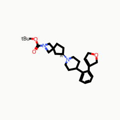 CC(C)(C)OC(=O)N1CC2(CC[C@@H](N3CCC(c4ccccc4C4=CCOC4)CC3)C2)C1